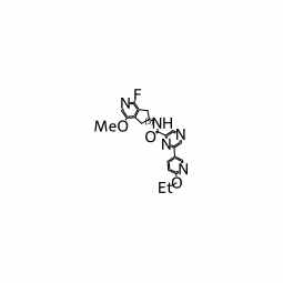 CCOc1ccc(-c2cncc(C(=O)N[C@H]3Cc4c(OC)cnc(F)c4C3)n2)cn1